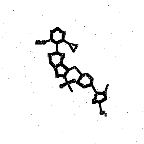 COc1ncnc(C2CC2)c1-c1ncc2nn(S(C)(=O)=O)c(Cc3ccc(-c4nc(C(F)(F)F)cn4C)cc3)c2n1